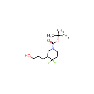 CC(C)(C)OC(=O)N1CCC(F)(F)C(CCCO)C1